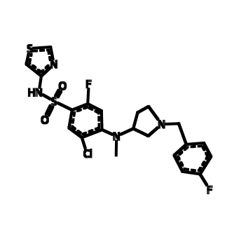 CN(c1cc(F)c(S(=O)(=O)Nc2cscn2)cc1Cl)C1CCN(Cc2ccc(F)cc2)C1